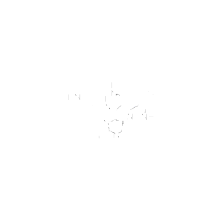 COc1ncc(NC(/C(C=N)=C/NCC2CCNCC2)=C2/CCOCCC2=N)cn1